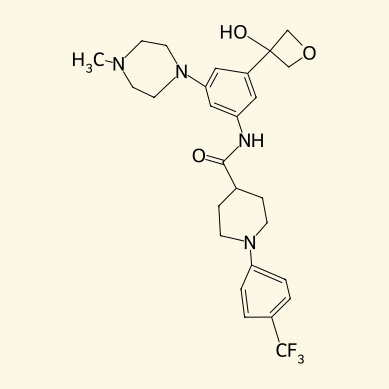 CN1CCN(c2cc(NC(=O)C3CCN(c4ccc(C(F)(F)F)cc4)CC3)cc(C3(O)COC3)c2)CC1